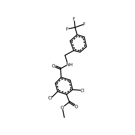 COC(=O)c1c(Cl)cc(C(=O)NCc2cccc(C(F)(F)F)c2)cc1Cl